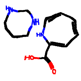 C1CNCNC1.O=C(O)C1=CC=CC=CN1